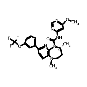 COc1cc(NC(=O)N2c3nc(-c4cccc(OC(F)(F)F)c4)ccc3N(C)CC[C@H]2C)ncn1